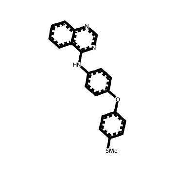 CSc1ccc(Oc2ccc(Nc3ncnc4ccccc34)cc2)cc1